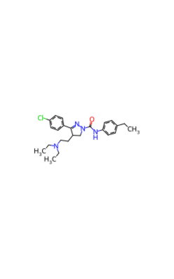 CCc1ccc(NC(=O)N2CC(CCN(CC)CC)C(c3ccc(Cl)cc3)=N2)cc1